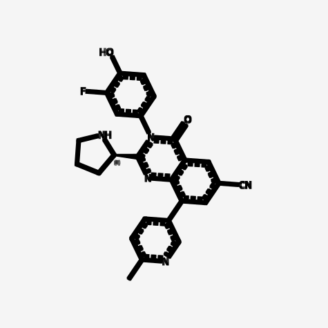 Cc1ccc(-c2cc(C#N)cc3c(=O)n(-c4ccc(O)c(F)c4)c([C@H]4CCCN4)nc23)cn1